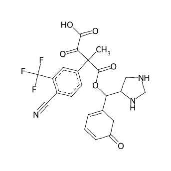 CC(C(=O)OC(C1=CC=CC(=O)C1)C1CNCN1)(C(=O)C(=O)O)c1ccc(C#N)c(C(F)(F)F)c1